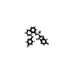 Cc1ccc2[nH]c([S+]([O-])Cc3cccc4c3N(Cc3ccc(F)cc3)CCC4)nc2c1